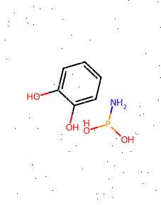 NP(O)O.Oc1ccccc1O